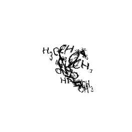 CC(C)c1cc2c(=O)n(CC(=O)N[C@H]3C[C@@](C)(O)C3)nc(C(C)OC3CC3)n2c1